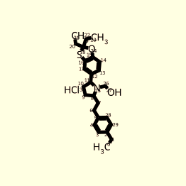 CCc1ccc(CCC2CCC(c3ccc4c(c3)SC(CC)(CC)O4)N2CO)cc1.Cl